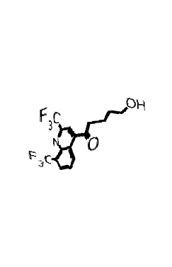 O=C(CCCCO)c1cc(C(F)(F)F)nc2c(C(F)(F)F)cccc12